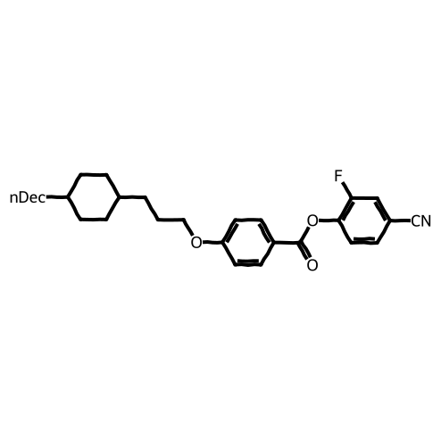 CCCCCCCCCCC1CCC(CCCOc2ccc(C(=O)Oc3ccc(C#N)cc3F)cc2)CC1